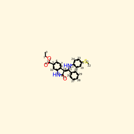 CCOC(=O)c1ccc2c(c1)NC(=O)C2=C(Nc1ccc(SC)cc1)c1ccccc1